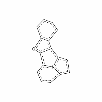 c1ccc2c(c1)oc1c2c2ccc3cccc1n32